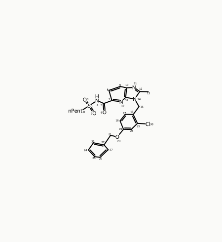 CCCCCS(=O)(=O)NC(=O)c1ccc2nc(C)n(Cc3ccc(OCc4ccccc4)cc3Cl)c2n1